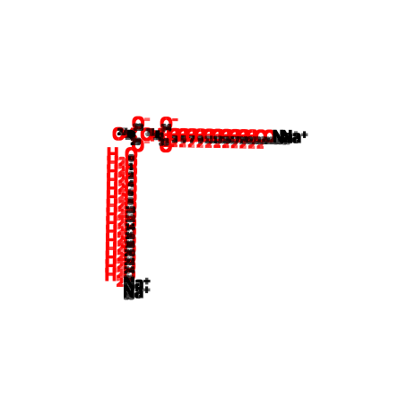 O.O.O.O.O.O.O.O.O.O.O.O.O.O.O.O.O.O.O.O.O.O.O.O.O.O.O.O=C([O-])[O-].O=C([O-])[O-].[Na+].[Na+].[Na+].[Na+]